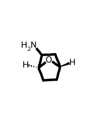 NC1C[C@@H]2CC[C@@H]1O2